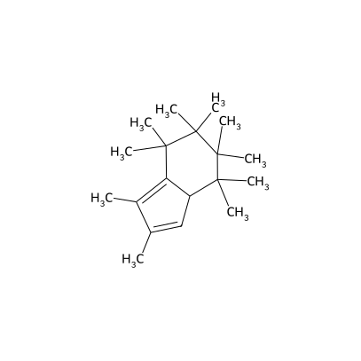 CC1=CC2C(=C1C)C(C)(C)C(C)(C)C(C)(C)C2(C)C